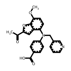 COc1ccc(N(Cc2cccnc2)c2ccc(C(=O)O)cc2)c2cc(C(C)=O)oc12